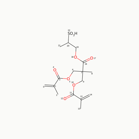 C=C(C)C(=O)OCC(C)(COC(=O)C(=C)C)C(=O)OCC(C)S(=O)(=O)O